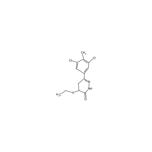 CCSC1CC(c2cc(Cl)c(C)c(Cl)c2)=NNC1=O